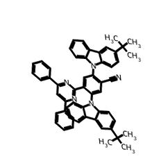 CC(C)(C)c1ccc2c(c1)c1ccccc1n2-c1cc(-c2nc(-c3ccccc3)cc(-c3ccccc3)n2)c(-n2c3ccccc3c3cc(C(C)(C)C)ccc32)cc1C#N